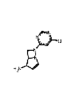 NC1C=CN2C1CN2c1cc(Cl)ncn1